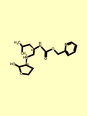 CC(C)C[C@H](CN[C@H]1CCOC1O)NC(=O)OCc1ccccn1